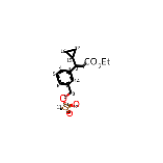 CCOC(=O)CC(c1cccc(COS(C)(=O)=O)c1)C1CC1